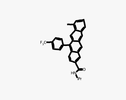 Cc1cccc2cc3cc4cc(C(=O)NC(C)C)ccc4c(-c4ccc(C(F)(F)F)cc4)c3cc12